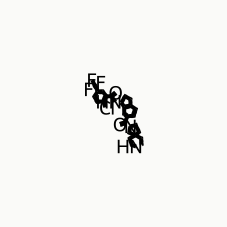 O=C(NC1CCc2ccc(C(=O)N3CCC4(CCNCC4)C3)cc21)c1cc(C(F)(F)F)ccc1Cl